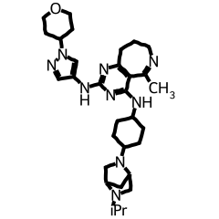 CC1=NCCCc2nc(Nc3cnn(C4CCOCC4)c3)nc(NC3CCC(N4CC5CC4CN5C(C)C)CC3)c21